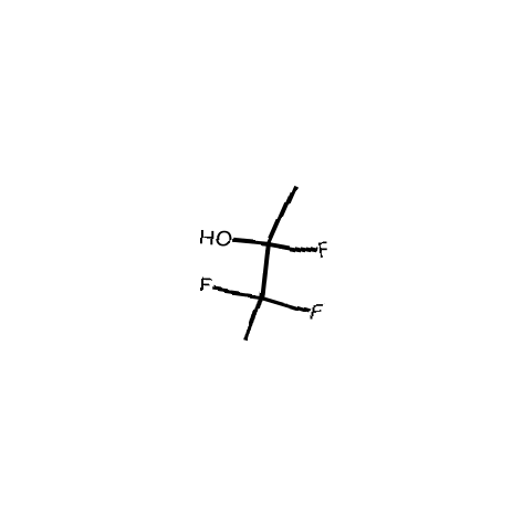 CC(O)(F)C(C)(F)F